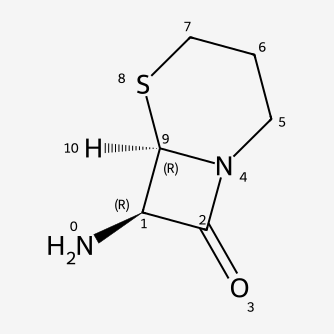 N[C@@H]1C(=O)N2CCCS[C@H]12